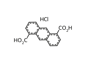 Cl.O=C(O)c1cccc2cc3c(C(=O)O)cccc3cc12